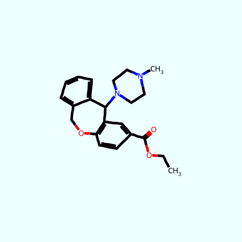 CCOC(=O)c1ccc2c(c1)C(N1CCN(C)CC1)c1ccccc1CO2